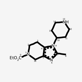 CCOC(=O)N1CCc2c(nc(C)n2C2CCNCC2)C1